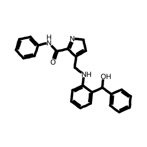 O=C(Nc1ccccc1)C1=NCC=C1CNc1ccccc1C(O)c1ccccc1